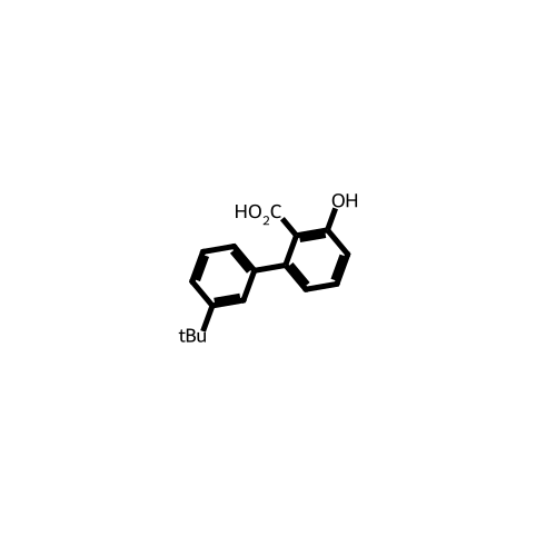 CC(C)(C)c1cccc(-c2cccc(O)c2C(=O)O)c1